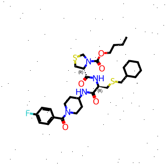 CCCCOC(=O)N1CSC[C@H]1C(=O)N[C@@H](CSCC1CCCCC1)C(=O)NC1CCN(C(=O)c2ccc(F)cc2)CC1